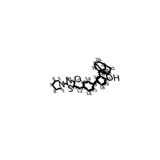 O=C1N=C(N2CCCCC2)SC1=Cc1ccc(-c2ccc(O)c(C34CC5CC(CC(C5)C3)C4)c2)cc1